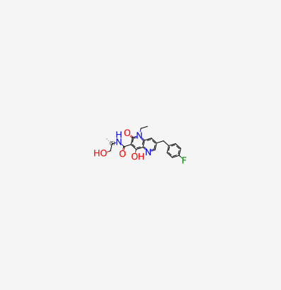 CCn1c(=O)c(C(=O)N[C@@H](C)CO)c(O)c2ncc(Cc3ccc(F)cc3)cc21